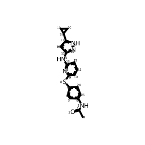 CC(=O)Nc1ccc(Sc2cccc(Nc3cc(C4CC4)[nH]n3)n2)cc1